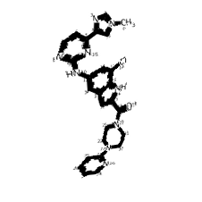 Cn1cnc(-c2ccnc(Nc3cc(Cl)c4[nH]c(C(=O)N5CCN(c6ccccn6)CC5)cc4c3)n2)c1